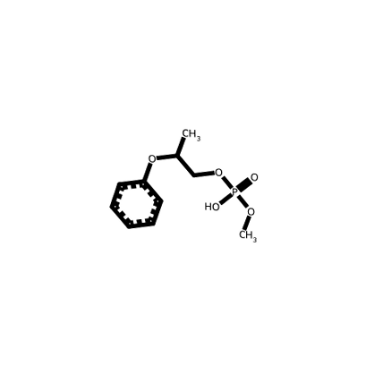 COP(=O)(O)OCC(C)Oc1ccccc1